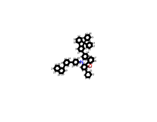 C1=CCC(c2ccc(N(c3ccc(-c4cccc(-c5cccc6ccccc56)c4)cc3)c3cccc(-c4ccc5c(c4)C(c4ccccc4)(c4ccccc4)c4ccccc4-5)c3)c3c2oc2ccccc23)C=C1